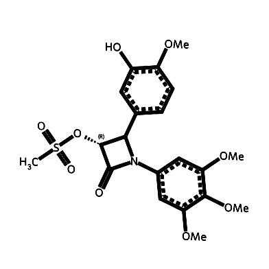 COc1ccc(C2[C@@H](OS(C)(=O)=O)C(=O)N2c2cc(OC)c(OC)c(OC)c2)cc1O